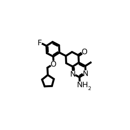 Cc1nc(N)nc2c1C(=O)CC(c1ccc(F)cc1OCC1CCCC1)C2